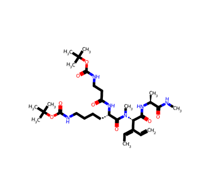 C=C/C(=C\C)[C@@H](C(=O)N[C@@H](C)C(=O)NC)N(C)C(=O)[C@H](CCCCNC(=O)OC(C)(C)C)NC(=O)CCNC(=O)OC(C)(C)C